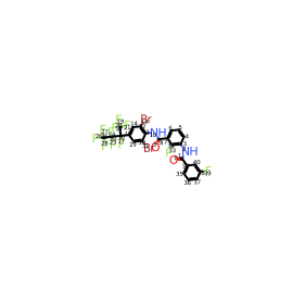 O=C(Nc1cccc(C(=O)Nc2c(Br)cc(C(F)(C(F)(F)F)C(F)(F)C(F)(F)F)cc2Br)c1F)c1cccc(F)c1